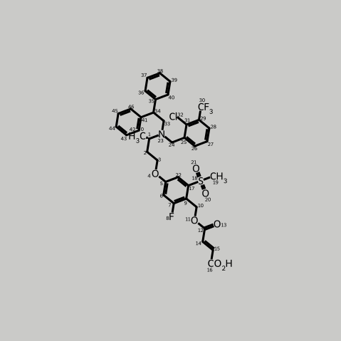 C[C@H](CCOc1cc(F)c(COC(=O)C=CC(=O)O)c(S(C)(=O)=O)c1)N(Cc1cccc(C(F)(F)F)c1Cl)CC(c1ccccc1)c1ccccc1